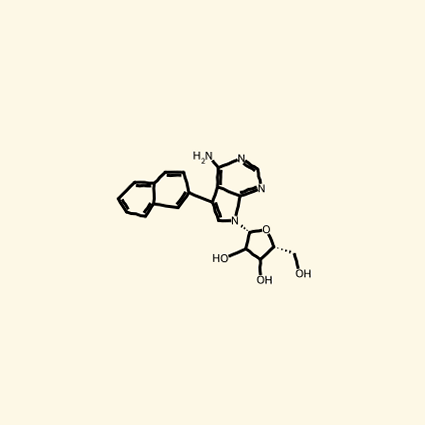 Nc1ncnc2c1c(-c1ccc3ccccc3c1)cn2[C@@H]1O[C@H](CO)C(O)C1O